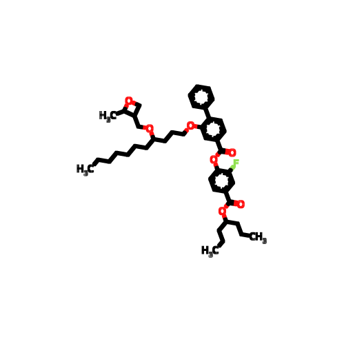 CCCCCCCC(CCCOc1cc(C(=O)Oc2ccc(C(=O)OC(CCC)CCC)cc2F)ccc1-c1ccccc1)OCC1COC1C